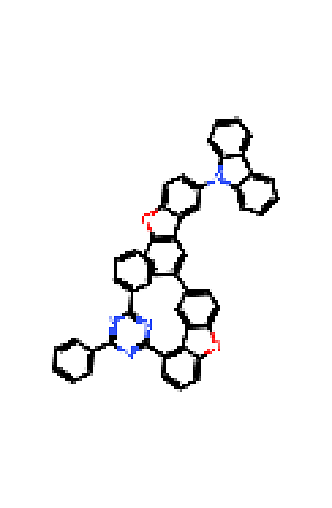 c1ccc(-c2nc(-c3ccccc3)nc(-c3cccc4oc5ccc(-c6ccc7oc8ccc(-n9c%10ccccc%10c%10ccccc%109)cc8c7c6)cc5c34)n2)cc1